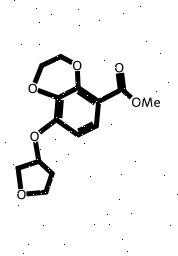 COC(=O)c1ccc(OC2CCOC2)c2c1OCCO2